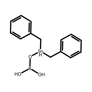 OB(O)[O][SnH]([CH2]c1ccccc1)[CH2]c1ccccc1